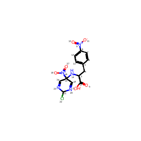 O=C(O)C(Cc1ccc([N+](=O)[O-])cc1)NC1([N+](=O)[O-])C=NC(Cl)N=C1